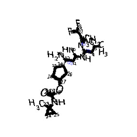 C/C(=N\C(=C/C(C)C)NC(=N)/C=C(\N)[C@H]1CCC(OC(=O)NC2(C)CC2)C1)C(F)F